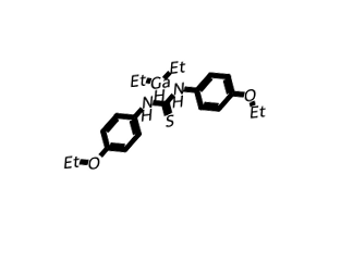 CCOc1ccc(NC(=S)Nc2ccc(OCC)cc2)cc1.C[CH2][GaH][CH2]C